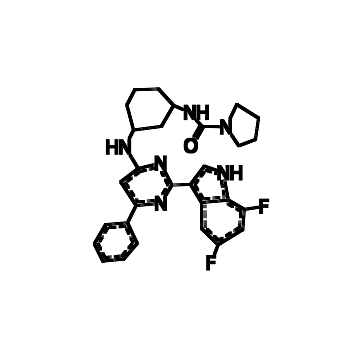 O=C(NC1CCCC(Nc2cc(-c3ccccc3)nc(-c3c[nH]c4c(F)cc(F)cc34)n2)C1)N1CCCC1